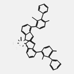 C[CH2][Hf]([CH3])([CH3])(=[SiH2])([CH2]C)([CH]1C=Cc2c(-c3ccc(C)c(-c4ccccc4)c3C)cccc21)[CH]1C=Cc2c(-c3ccc(C)c(-c4ccccc4)c3C)cccc21